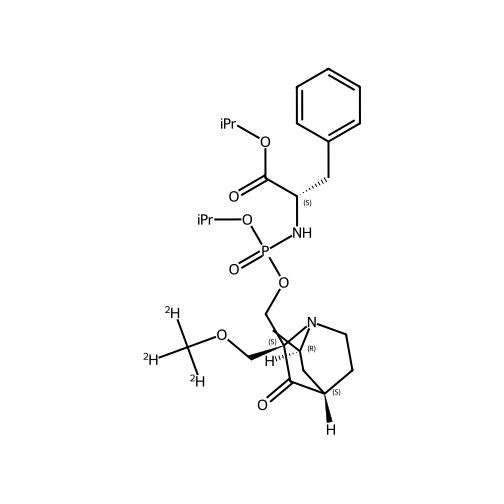 [2H]C([2H])([2H])OC[C@]1(COP(=O)(N[C@@H](Cc2ccccc2)C(=O)OC(C)C)OC(C)C)C(=O)[C@H]2CCN1[C@H](C)C2